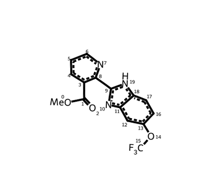 COC(=O)c1cccnc1-c1nc2cc(OC(F)(F)F)ccc2[nH]1